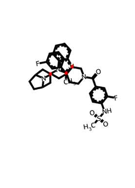 Cc1nc2ccccc2n1C1CC2CCC(C1)N2CCC1(c2cccc(F)c2)CCN(C(=O)c2ccc(NS(C)(=O)=O)c(F)c2)CC1